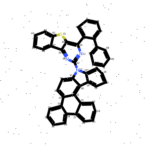 c1ccc(-c2ccccc2-c2nc(-n3c4ccccc4c4c5c6ccccc6c6ccccc6c5ccc43)nc3c2sc2ccccc23)cc1